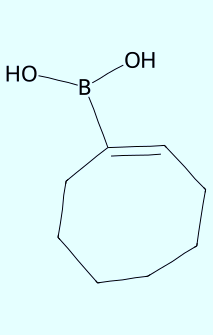 OB(O)C1=CCCCCCC1